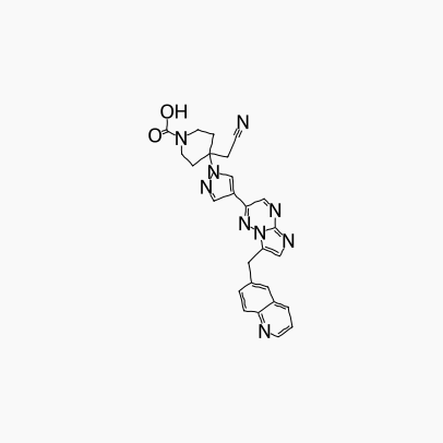 N#CCC1(n2cc(-c3cnc4ncc(Cc5ccc6ncccc6c5)n4n3)cn2)CCN(C(=O)O)CC1